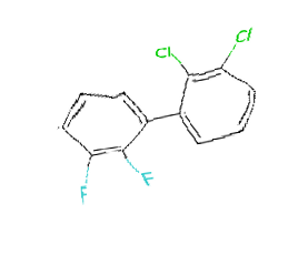 Fc1[c]ccc(-c2cccc(Cl)c2Cl)c1F